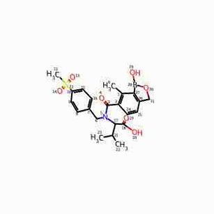 Cc1c(C(=O)N(Cc2ccc(S(C)(=O)=O)cc2)C(C(=O)O)C(C)C)ccc2c1B(O)OC2